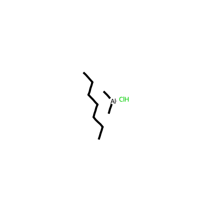 CCCCCCC.Cl.[CH3][Al][CH3]